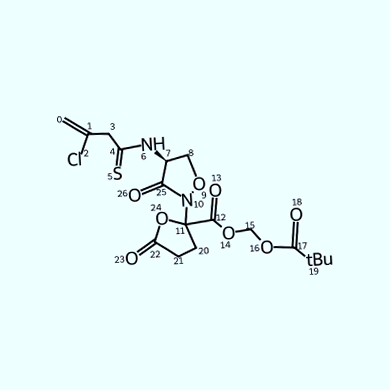 C=C(Cl)CC(=S)N[C@H]1CON(C2(C(=O)OCOC(=O)C(C)(C)C)CCC(=O)O2)C1=O